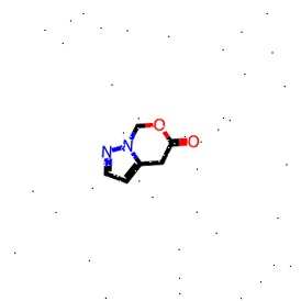 O=C1Cc2ccnn2CO1